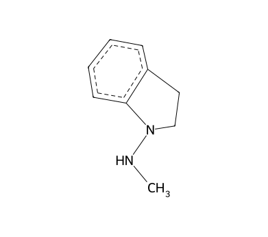 CNN1CCc2ccccc21